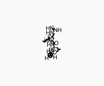 CC[C@H](C)C(=O)N[C@@H](CCCNC(=N)NC)C(=O)N[C@@H](CC(C)C)B1O[C@@H]2C[C@@H]3C[C@@H](C3(C)C)[C@]2(C)O1